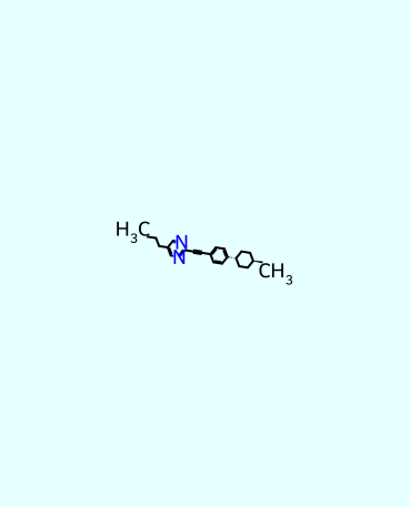 CCCCc1cnc(C#Cc2ccc([C@H]3CC[C@H](CC)CC3)cc2)nc1